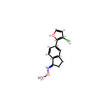 CON=C1CCc2cc(-c3occc3Br)ccc21